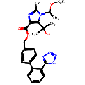 CCCc1nc(C(=O)OCc2ccc(-c3ccccc3-c3nnn[nH]3)cc2)c(C(C)(C)O)n1C(C)OC(=O)OCC